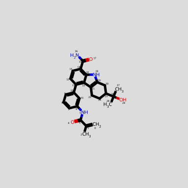 C=C(C)C(=O)Nc1cccc(-c2ccc(C(N)=O)c3[nH]c4c(c23)CCC(C(C)(C)O)C4)c1